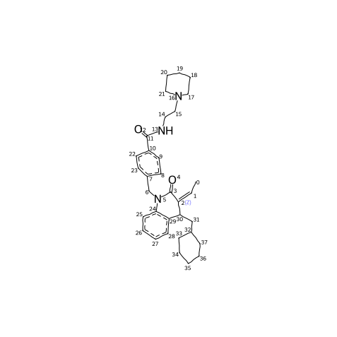 C/C=C1\C(=O)N(Cc2ccc(C(=O)NCCN3CCCCC3)cc2)c2ccccc2C1CC1CCCCC1